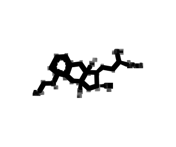 CCCCC[C@H](O)CC[C@@H]1[C@H]2Cc3cccc(OCC(C)=O)c3C[C@H]2C[C@H]1O